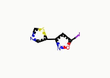 Ic1cc(-c2cncs2)no1